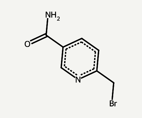 NC(=O)c1ccc(CBr)nc1